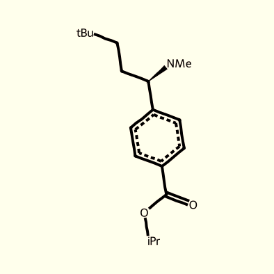 CN[C@H](CCC(C)(C)C)c1ccc(C(=O)OC(C)C)cc1